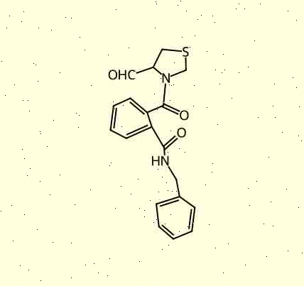 O=CC1CSCN1C(=O)c1ccccc1C(=O)NCc1ccccc1